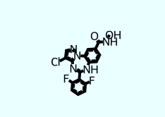 O=C(NO)c1ccc2c(c1)-n1ncc(Cl)c1N=C(c1c(F)cccc1F)N2